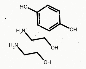 NCCO.NCCO.Oc1ccc(O)cc1